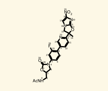 CC(=O)NCC1CN(c2ccc(-c3ccc(C4(C)Cn5cc([N+](=O)[O-])nc5O4)nc3)c(F)c2)C(=O)O1